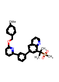 COc1ccc(COc2cccc(-c3cccc(-c4cc(C(C)(C)S(C)(=O)=O)c5ncccc5c4)c3)n2)cc1